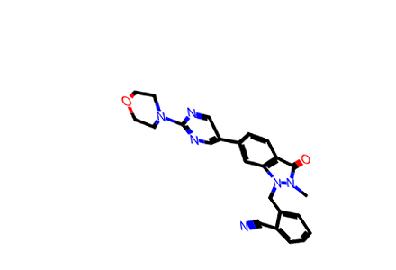 Cn1c(=O)c2ccc(-c3cnc(N4CCOCC4)nc3)cc2n1Cc1ccccc1C#N